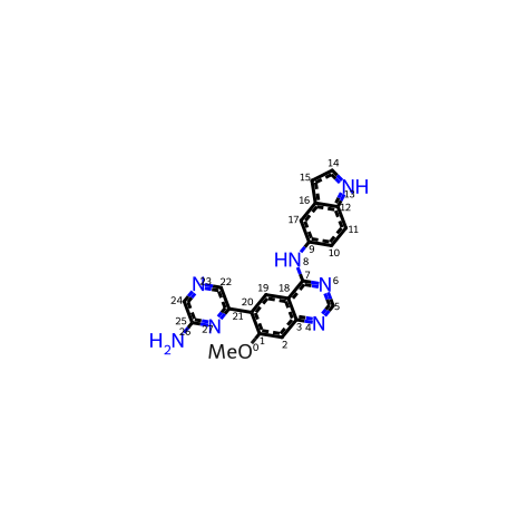 COc1cc2ncnc(Nc3ccc4[nH]ccc4c3)c2cc1-c1cncc(N)n1